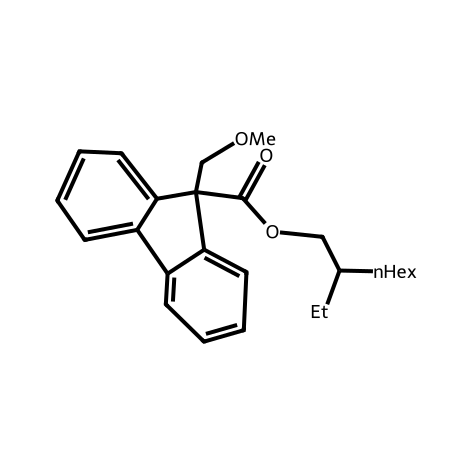 CCCCCCC(CC)COC(=O)C1(COC)c2ccccc2-c2ccccc21